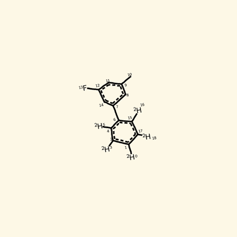 [2H]c1c([2H])c([2H])c(-c2cc(C)cc(F)c2)c([2H])c1[2H]